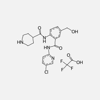 O=C(Nc1ccc(Cl)cn1)c1cc(CO)ccc1NC(=O)C1CCNCC1.O=C(O)C(F)(F)F